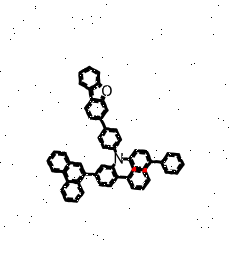 c1ccc(-c2ccc(N(c3ccc(-c4ccc5c(c4)oc4ccccc45)cc3)c3cc(-c4cc5ccccc5c5ccccc45)ccc3-c3ccccc3)cc2)cc1